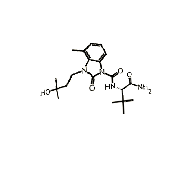 Cc1cccc2c1n(CCC(C)(C)O)c(=O)n2C(=O)N[C@H](C(N)=O)C(C)(C)C